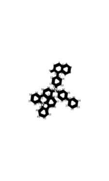 CC1C=Cc2ccccc2C1c1ccc(N(c2ccc(-c3ccccc3)cc2)C2C=CC(c3ccccc3-n3c4ccccc4c4ccccc43)=CC2)cc1